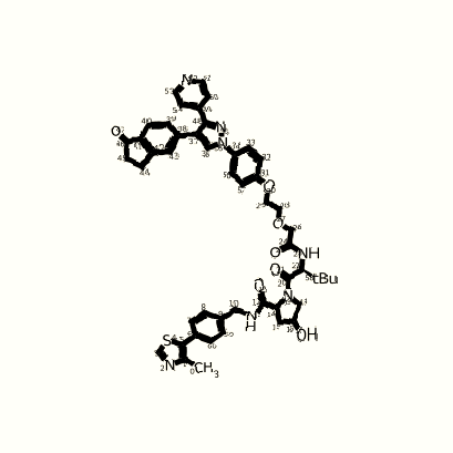 Cc1ncsc1-c1ccc(CNC(=O)C2CC(O)CN2C(=O)[C@@H](NC(=O)COCCOc2ccc(-n3cc(-c4ccc5c(c4)CCC5=O)c(-c4ccncc4)n3)cc2)C(C)(C)C)cc1